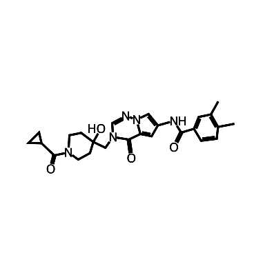 Cc1ccc(C(=O)Nc2cc3c(=O)n(CC4(O)CCN(C(=O)C5CC5)CC4)cnn3c2)cc1C